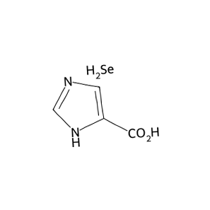 O=C(O)c1cnc[nH]1.[SeH2]